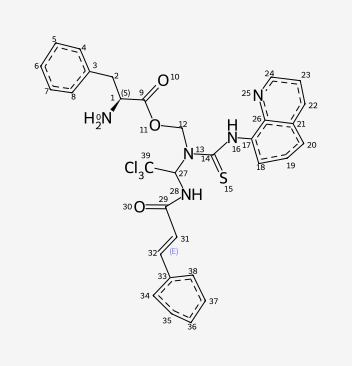 N[C@@H](Cc1ccccc1)C(=O)OCN(C(=S)Nc1cccc2cccnc12)C(NC(=O)/C=C/c1ccccc1)C(Cl)(Cl)Cl